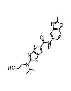 Cc1nc2cc(NC(=O)c3cc4sc(N(CCO)C(C)C)nc4s3)ccc2o1